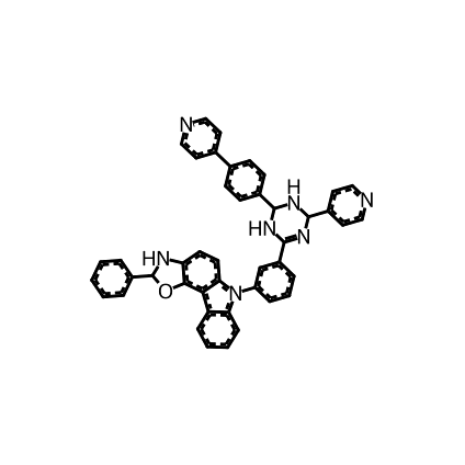 c1ccc(C2Nc3ccc4c(c3O2)c2ccccc2n4-c2cccc(C3=NC(c4ccncc4)NC(c4ccc(-c5ccncc5)cc4)N3)c2)cc1